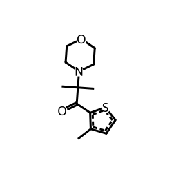 Cc1ccsc1C(=O)C(C)(C)N1CCOCC1